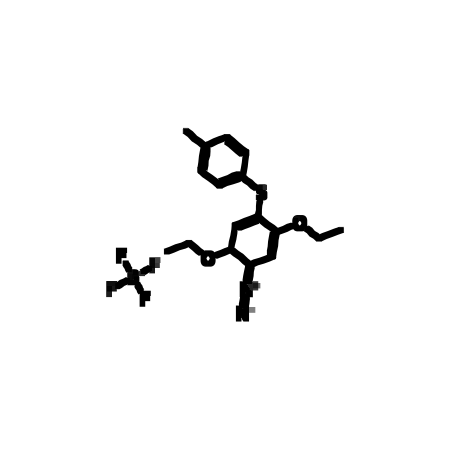 CCOC1=CC(=[N+]=[N-])C(OCC)C=C1Sc1ccc(C)cc1.F[B-](F)(F)F